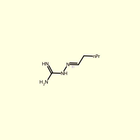 CCCC/C=N/NC(=N)N